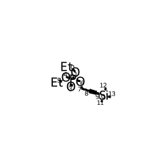 CCOP(=O)(OCC)OCC#C[Si](C)(C)C